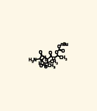 CCCCOC(=O)OC(C)OC(=O)[C@@H]1N2C(=O)C(N)[C@H]2S(=O)(=O)C1(C)C